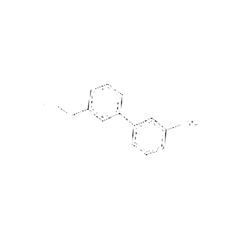 CCCCCCCCOc1[c]ccc(-c2cccc(OC)c2)c1